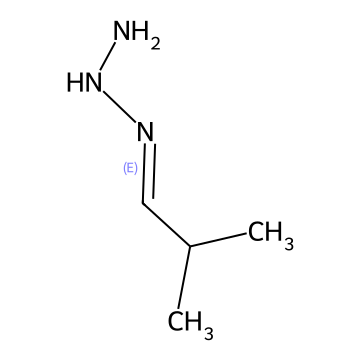 CC(C)/C=N/NN